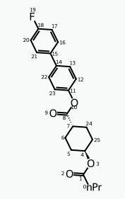 CCCC(=O)O[C@H]1CC[C@H](C(=O)Oc2ccc(-c3ccc(F)cc3)cc2)CC1